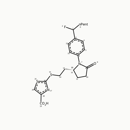 CCCCCC(F)c1ccc(N2C(=O)CC[C@@H]2CCSc2nc(C(=O)O)cs2)cc1